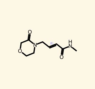 CNC(=O)/C=C/CN1CCOCC1=O